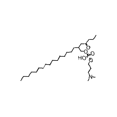 CCCCCCCCCCCCCCCCC(COP(=O)(O)OCCCN(C)C)CC(=O)CCC